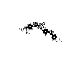 Cc1ccc(-c2nc(-c3ccc(C[C@H](NC(=O)c4cn(-c5ccc(C(C)(C)C)cc5)nn4)OC=O)cc3F)no2)cc1